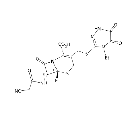 CCn1c(SCC2=C(C(=O)O)N3C(=O)[C@@H](NC(=O)CC#N)[C@H]3SC2)n[nH]c(=O)c1=O